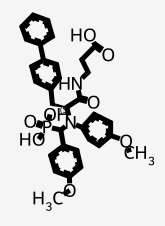 COc1ccc(C(N(c2ccc(OC)cc2)[C@@H](Cc2ccc(-c3ccccc3)cc2)C(=O)NCCC(=O)O)P(=O)(O)O)cc1